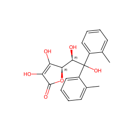 Cc1ccccc1C(O)(c1ccccc1C)[C@H](O)[C@H]1OC(=O)C(O)=C1O